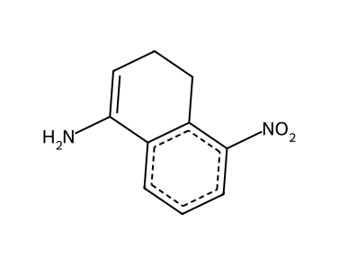 NC1=CCCc2c1cccc2[N+](=O)[O-]